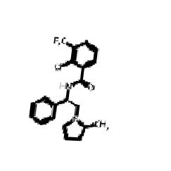 CC1CCCN1C[C@H](NC(=O)c1cccc(C(F)(F)F)c1Cl)c1ccccc1